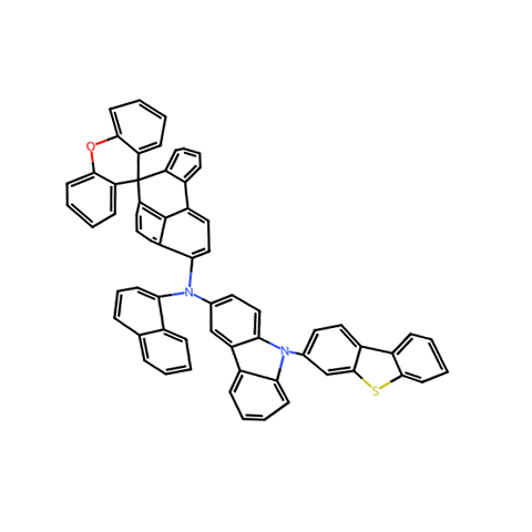 c1ccc2c(c1)Oc1ccccc1C21c2ccccc2-c2ccc(N(c3ccc4c(c3)c3ccccc3n4-c3ccc4c(c3)sc3ccccc34)c3cccc4ccccc34)c3cccc1c23